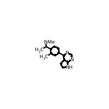 CNC(C)c1ccc(-c2ncnc3[nH]ccc23)cc1C